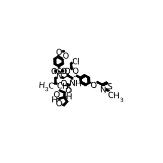 Cc1nc(COc2ccc(C[C@H](NC(=O)O[C@H]3CO[C@H]4OCC[C@H]43)[C@@H](CN(CC(C)C)S(=O)(=O)c3ccc4c(c3)OCO4)OC(=O)CCl)cc2)cs1